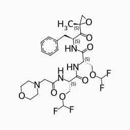 C[C@@]1(C(=O)[C@H](Cc2ccccc2)NC(=O)[C@H](COC(F)F)NC(=O)[C@H](COC(F)F)NC(=O)CN2CCOCC2)CO1